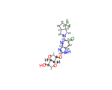 O[C@@H]1CO[C@H]2[C@@H]1OC[C@H]2Oc1nc2nc(N3CC4CCC(F)(F)C4C3)c(Cl)cc2[nH]1